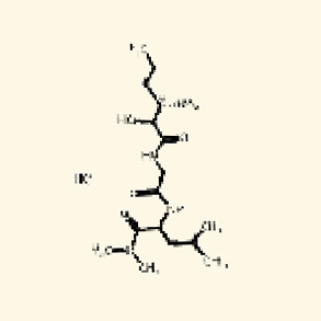 CCC[C@H](N)C(O)C(=O)NCC(=O)NC(CC(C)C)C(=O)N(C)C.Cl